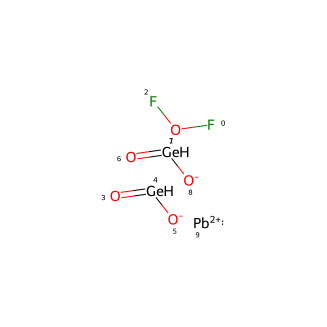 FOF.[O]=[GeH][O-].[O]=[GeH][O-].[Pb+2]